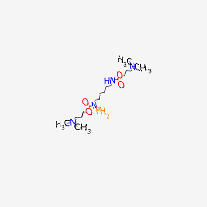 CN(C)CCCOC(=O)NCCCCCCN(P)C(=O)OCCCN(C)C